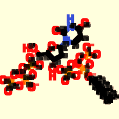 O=P([O-])([O-])OP(=O)([O-])OP(=O)([O-])[O-].O=P([O-])([O-])OP(=O)([O-])OP(=O)([O-])[O-].O=c1ccn([C@H]2C[C@H](O)[C@@H](CO)O2)c(=O)[nH]1.[Ni+2].[Ni+2].[Ni+2].[Ni+2].[Ni+2]